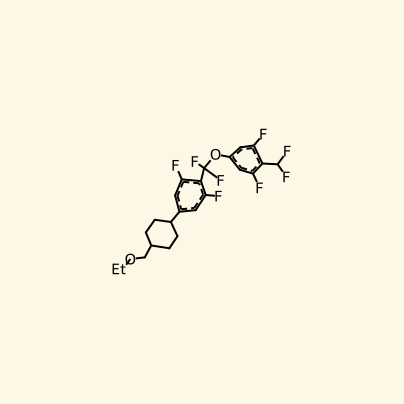 CCOCC1CCC(c2cc(F)c(C(F)(F)Oc3cc(F)c(C(F)F)c(F)c3)c(F)c2)CC1